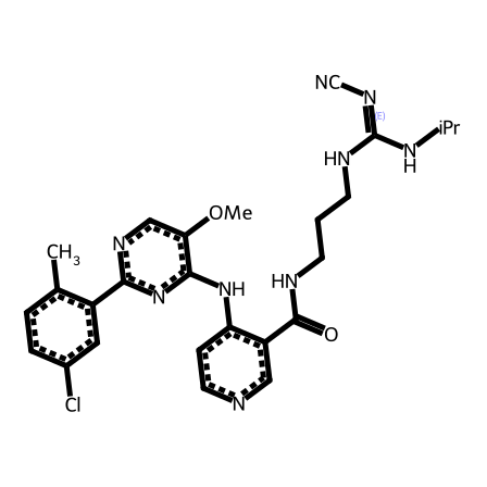 COc1cnc(-c2cc(Cl)ccc2C)nc1Nc1ccncc1C(=O)NCCCN/C(=N\C#N)NC(C)C